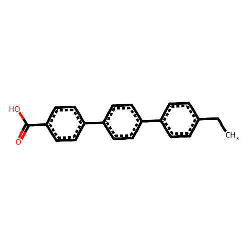 CCc1ccc(-c2ccc(-c3ccc(C(=O)O)cc3)cc2)cc1